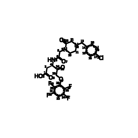 O=C(O)C[C@H](NC(=O)CN1CCN(Cc2ccc(Cl)nc2)CC1=O)C(=O)COc1c(F)c(F)cc(F)c1F